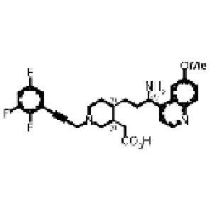 COc1ccc2nccc([C@H](N)CC[C@@H]3CCN(CC#Cc4cc(F)cc(F)c4F)C[C@@H]3CC(=O)O)c2c1